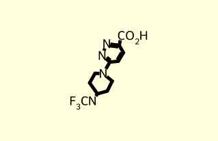 O=C(O)c1ccc(N2CCC(NC(F)(F)F)CC2)nn1